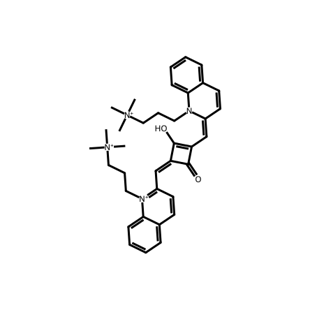 C[N+](C)(C)CCCN1/C(=C\C2=C(O)C(=C/c3ccc4ccccc4[n+]3CCC[N+](C)(C)C)/C2=O)C=Cc2ccccc21